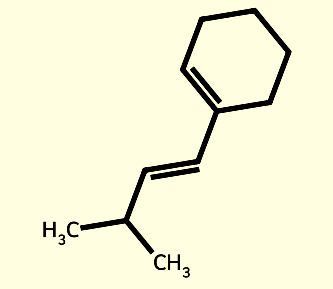 CC(C)C=CC1=CCCCC1